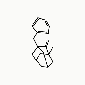 CC12CC3CC(C1)CC(Cc1ccccc1)(C3)C2=O